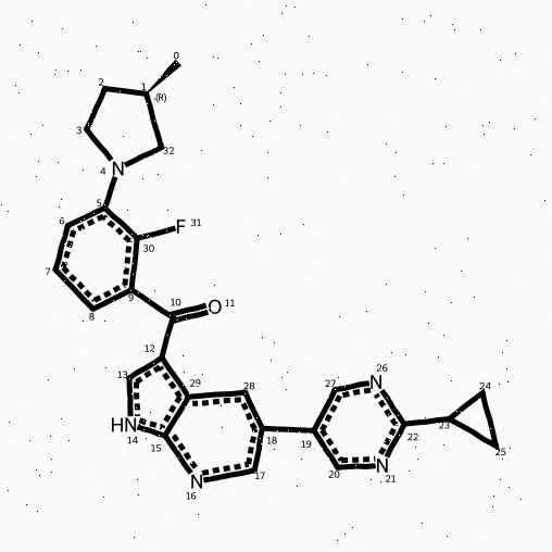 C[C@@H]1CCN(c2cccc(C(=O)c3c[nH]c4ncc(-c5cnc(C6CC6)nc5)cc34)c2F)C1